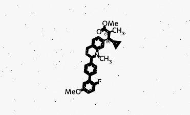 COC(=O)[C@@H](C)[C@H](c1ccc2c(c1)N(C)C(c1ccc(-c3cc(OC)ccc3F)cc1)CC2)C1CC1